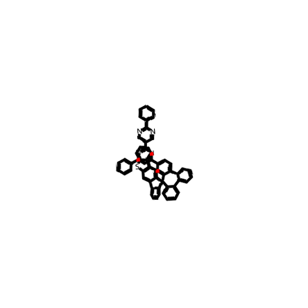 c1ccc(-c2cc(-c3ccc4c(c3)C3(c5ccccc5-c5ccccc5-4)c4ccccc4-c4cc5sc6ccccc6c5cc43)nc(-c3cnc(-c4ccccc4)nc3)n2)cc1